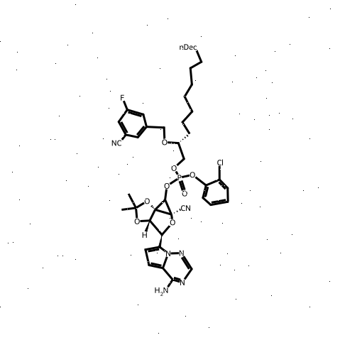 CCCCCCCCCCCCCCCCC[C@H](COP(=O)(Oc1ccccc1Cl)OC1[C@@]2(C#N)O[C@@H](c3ccc4c(N)ncnn34)[C@@H]3OC(C)(C)O[C@@]132)OCc1cc(F)cc(C#N)c1